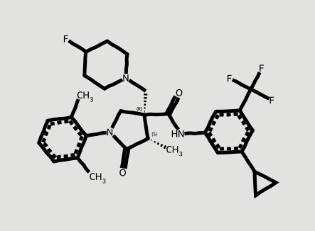 Cc1cccc(C)c1N1C[C@@](CN2CCC(F)CC2)(C(=O)Nc2cc(C3CC3)cc(C(F)(F)F)c2)[C@H](C)C1=O